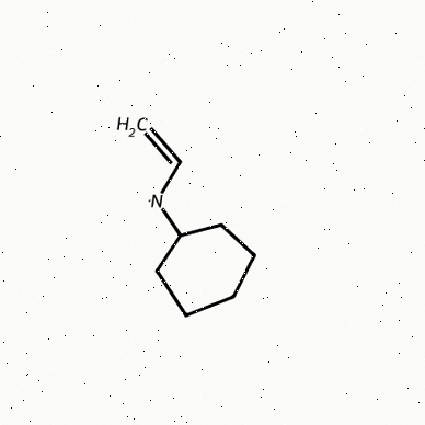 C=C[N]C1CCCCC1